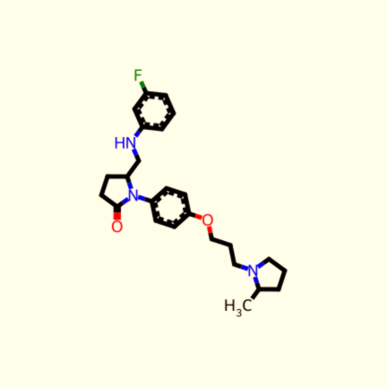 CC1CCCN1CCCOc1ccc(N2C(=O)CCC2CNc2cccc(F)c2)cc1